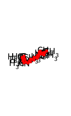 COC(=O)N[C@H](C(=O)N1C[C@@H](C)C[C@H]1c1nc2cc(-c3ccc(-c4ccc(-c5c[nH]c([C@@H]6C[C@H](C)CN6C(=O)[C@H](C(C)C)N(C)C(=O)OC)n5)cc4)cc3)ccc2[nH]1)C(C)C